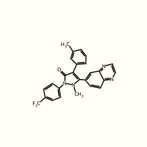 Cc1cccc(-c2c(-c3ccc4nccnc4c3)n(C)n(-c3ccc(C(F)(F)F)cc3)c2=O)c1